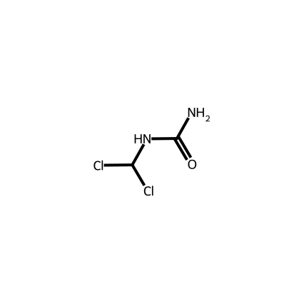 NC(=O)NC(Cl)Cl